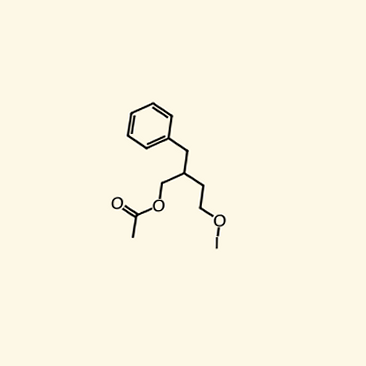 CC(=O)OCC(CCOI)Cc1ccccc1